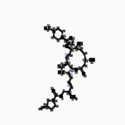 C/C(=C\C=C\[C@@H](C)COC(=O)N1CC[C@@H](F)C1)[C@H]1OC(=O)C[C@@H](O)CC[C@](C)(O)[C@H](OC(=O)N2CCN(C)CC2)/C=C/[C@@H]1C